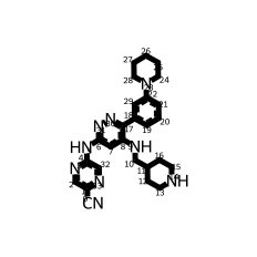 N#Cc1cnc(Nc2cc(NCC3CCNCC3)c(-c3cccc(N4CCCCC4)c3)nn2)cn1